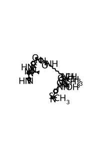 Cc1ncsc1-c1ccc(CNC(=O)[C@@H]2C[C@@H](O)CN2C(=O)[C@@H](NC(=O)CCCCCCCCNC(=O)CN2CCN(C(=O)c3ccc(Nc4nc(C5CC5)cn5c(-c6cn[nH]c6)cnc45)c(F)c3)CC2)C(C)(C)C)cc1